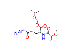 CO[C@@H](C)C(=O)N[C@@H](CCC(=O)C=[N+]=[N-])C(=O)OCOC(C)C